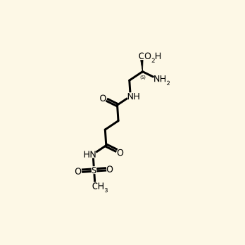 CS(=O)(=O)NC(=O)CCC(=O)NC[C@H](N)C(=O)O